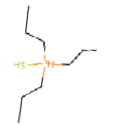 CCC[PH](S)(CCC)CCC